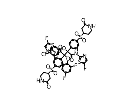 O=C1CC(S(=O)(=O)c2ccc(C(Oc3ccc(Cl)cc3)(C(=O)Nc3ncc(F)s3)C(Oc3ccc(F)cc3F)(C(=O)Nc3ncc(F)s3)c3ccc(S(=O)(=O)C4CCNC(=O)C4)cc3)cc2)CCN1